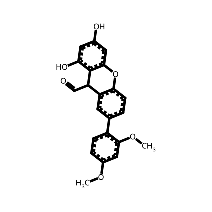 COc1ccc(-c2ccc3c(c2)C(C=O)c2c(O)cc(O)cc2O3)c(OC)c1